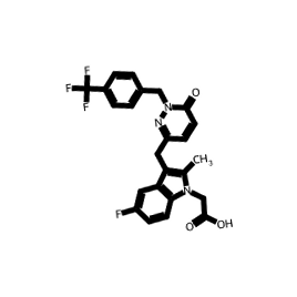 Cc1c(Cc2ccc(=O)n(Cc3ccc(C(F)(F)F)cc3)n2)c2cc(F)ccc2n1CC(=O)O